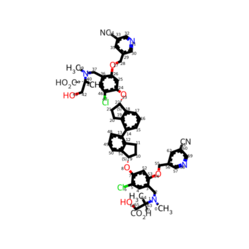 CN(Cc1cc(Cl)c(O[C@H]2CCc3c(-c4cccc5c4CC[C@@H]5Oc4cc(OCc5cncc(C#N)c5)c(CN(C)[C@@](C)(CO)C(=O)O)cc4Cl)cccc32)cc1OCc1cncc(C#N)c1)[C@@](C)(CO)C(=O)O